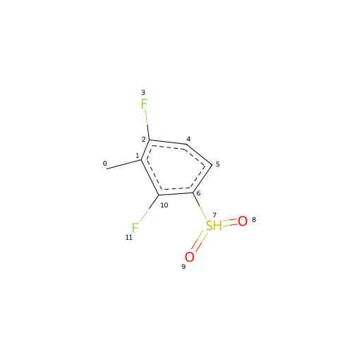 Cc1c(F)ccc([SH](=O)=O)c1F